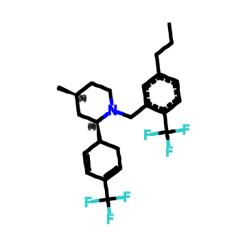 CCCc1ccc(C(F)(F)F)c(CN2CC[C@H](C)C[C@@H]2C2C=CC(C(F)(F)F)=CC2)c1